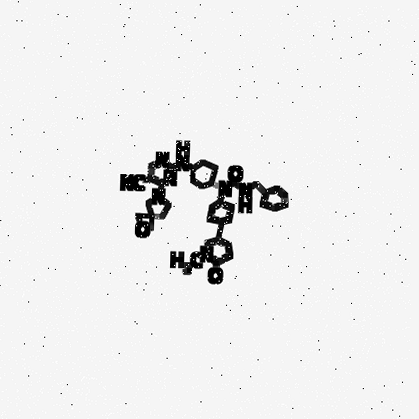 Cn1cc(-c2ccc(N(C(=O)NCc3ccccc3)[C@H]3CC[C@H](Nc4ncc(C#N)c(N5CCC6(COC6)C5)n4)CC3)cc2)ccc1=O